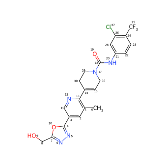 Cc1cc(-c2nnc(CO)o2)cnc1C1=CCN(C(=O)Nc2ccc(C(F)(F)F)c(Cl)c2)CC1